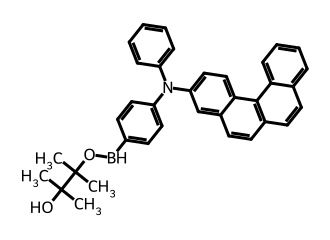 CC(C)(O)C(C)(C)OBc1ccc(N(c2ccccc2)c2ccc3c(ccc4ccc5ccccc5c43)c2)cc1